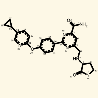 NC(=O)c1cc(CN[C@H]2CCNC2=O)nc(-c2ccc(Oc3ccc(C4CC4)cn3)cc2)n1